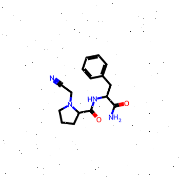 N#CCN1CCCC1C(=O)NC(Cc1ccccc1)C(N)=O